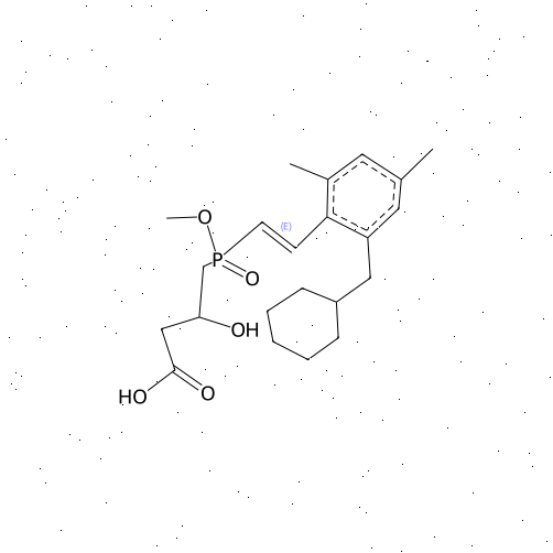 COP(=O)(/C=C/c1c(C)cc(C)cc1CC1CCCCC1)CC(O)CC(=O)O